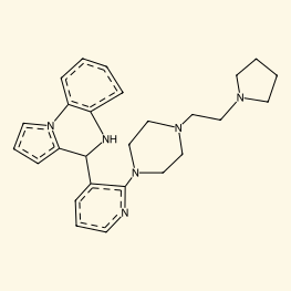 c1ccc2c(c1)NC(c1cccnc1N1CCN(CCN3CCCC3)CC1)c1cccn1-2